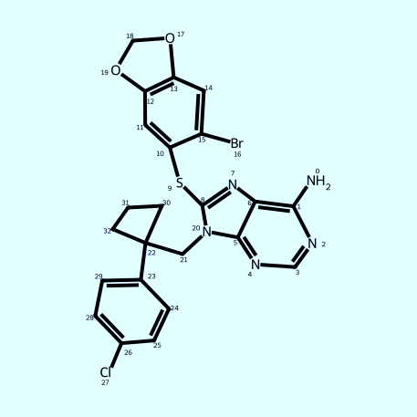 Nc1ncnc2c1nc(Sc1cc3c(cc1Br)OCO3)n2CC1(c2ccc(Cl)cc2)CCC1